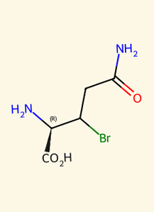 NC(=O)CC(Br)[C@H](N)C(=O)O